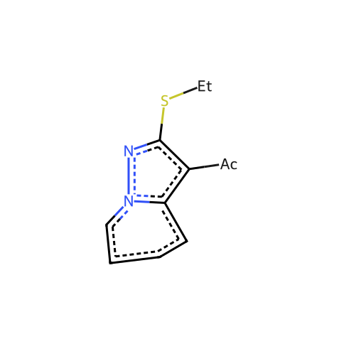 CCSc1nn2ccccc2c1C(C)=O